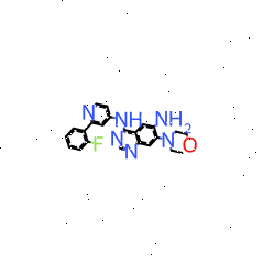 Nc1cc2c(Nc3ccnc(-c4ccccc4F)c3)ncnc2cc1N1CCOCC1